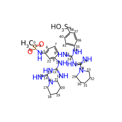 CS(=O)(=O)Nc1cccc(NC(=N)NC(=N)N2CCCCC2)c1.N=C(NC(=N)N1CCCCC1)Nc1ccc(S(=O)(=O)O)cc1